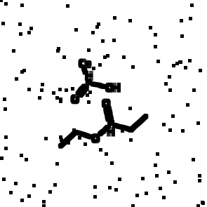 CCO[PH](=O)CC.O=[PH](O)[Ce]